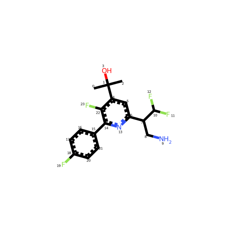 CC(C)(O)c1cc(C(CN)C(F)F)nc(-c2ccc(F)cc2)c1F